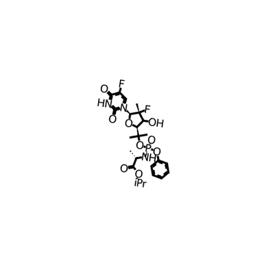 CC(C)OC(=O)[C@H](C)N[P@@](=O)(Oc1ccccc1)OC(C)(C)[C@H]1O[C@@H](n2cc(F)c(=O)[nH]c2=O)[C@](C)(F)C1O